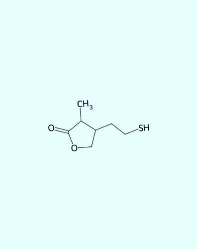 CC1C(=O)OCC1CCS